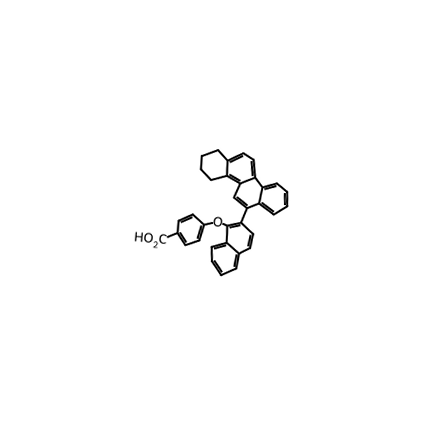 O=C(O)c1ccc(Oc2c(-c3cc4c5c(ccc4c4ccccc34)CCCC5)ccc3ccccc23)cc1